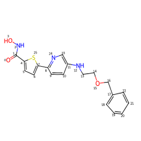 O=C(NO)c1ccc(-c2ccc(NCCOCc3ccccc3)cn2)s1